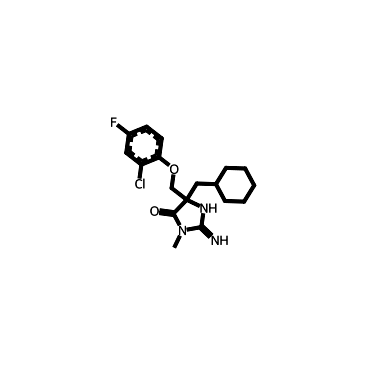 CN1C(=N)NC(COc2ccc(F)cc2Cl)(CC2CCCCC2)C1=O